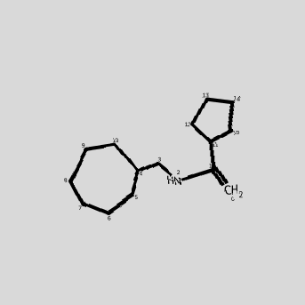 C=C(NCC1CCCCCC1)C1CCCC1